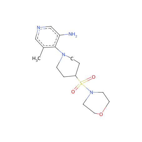 Cc1cncc(N)c1N1CCC(S(=O)(=O)N2CCOCC2)CC1